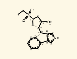 CCS(=O)(=O)N1C[C@@H]([C@H]2c3ccccc3-c3cncn32)[C@H](O)C1